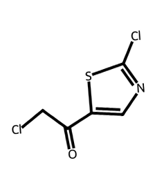 O=C(CCl)c1cnc(Cl)s1